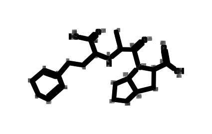 CC(NC(CCC1=CCCC=C1)C(=O)O)C(=O)N1C(C(=O)O)CC2CCCC21